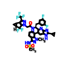 Cn1nc(NS(C)(=O)=O)c2cccc(-c3cc4[nH]c(C5CC5)nc4nc3[C@H](Cc3cc(F)cc(F)c3)NC(=O)Cn3nc(C(F)(F)F)c4c3C(F)(F)[C@@H]3CC43)c21